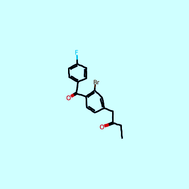 CCC(=O)Cc1ccc(C(=O)c2ccc(F)cc2)c(Br)c1